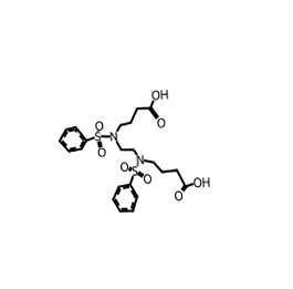 O=C(O)CCCN(CCN(CCCC(=O)O)S(=O)(=O)c1ccccc1)S(=O)(=O)c1ccccc1